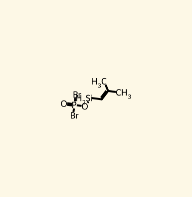 CC(C)=C[SiH2]OP(=O)(Br)Br